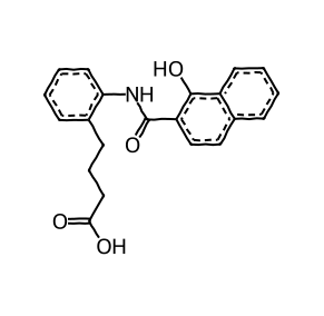 O=C(O)CCCc1ccccc1NC(=O)c1ccc2ccccc2c1O